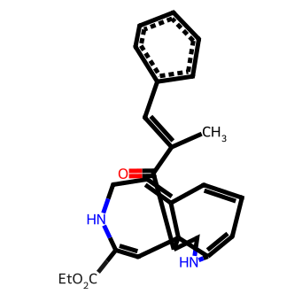 CCOC(=O)C1=CC23C(=CCN1)C=CC=C2NCC3C(=O)/C(C)=C/c1ccccc1